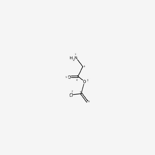 C=C(Cl)OC(=O)CN